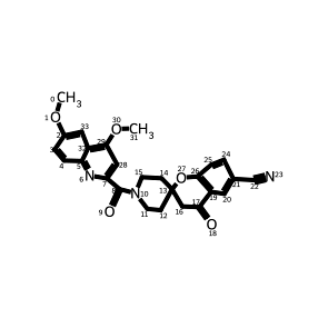 COc1ccc2nc(C(=O)N3CCC4(CC3)CC(=O)c3cc(C#N)ccc3O4)cc(OC)c2c1